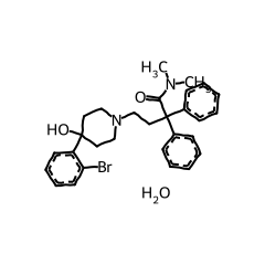 CN(C)C(=O)C(CCN1CCC(O)(c2ccccc2Br)CC1)(c1ccccc1)c1ccccc1.O